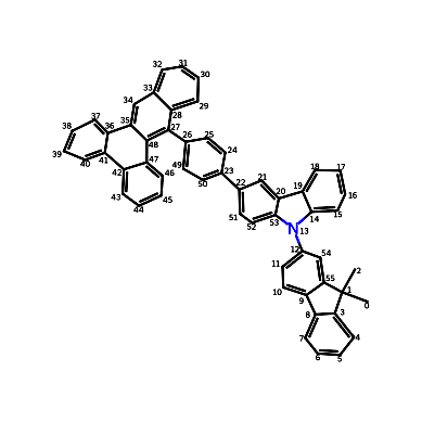 CC1(C)c2ccccc2-c2ccc(-n3c4ccccc4c4cc(-c5ccc(-c6c7ccccc7cc7c8ccccc8c8ccccc8c67)cc5)ccc43)cc21